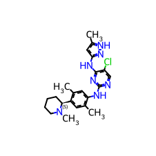 Cc1cc(Nc2nc(Nc3cc(C)c([C@@H]4CCCCN4C)cc3C)ncc2Cl)n[nH]1